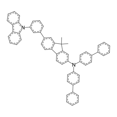 CC1(C)c2cc(-c3cccc(-n4c5ccccc5c5ccccc54)c3)ccc2-c2ccc(N(c3ccc(-c4ccccc4)cc3)c3ccc(-c4ccccc4)cc3)cc21